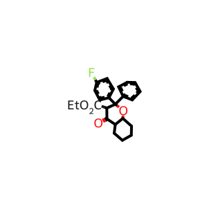 CCOC(=O)C1C(=O)C2CCCCC2OC1(c1ccccc1)c1ccc(F)cc1